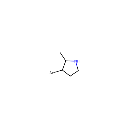 CC(=O)C1CCNC1C